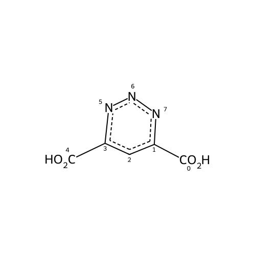 O=C(O)c1cc(C(=O)O)nnn1